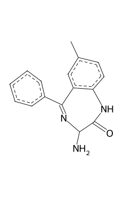 Cc1ccc2c(c1)C(c1ccccc1)=NC(N)C(=O)N2